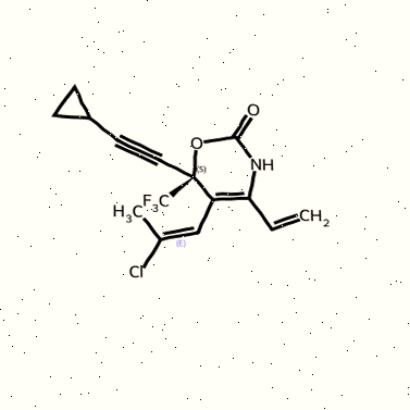 C=CC1=C(/C=C(\C)Cl)[C@@](C#CC2CC2)(C(F)(F)F)OC(=O)N1